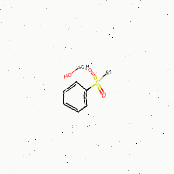 CCS(=O)(=O)c1ccccc1.O=S(=O)(O)O